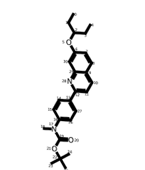 CCC(CC)Oc1ccc2ccc(-c3ccc(N(C)C(=O)OC(C)(C)C)cc3)nc2c1